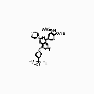 COc1ncc(-c2nc(N3CCOCC3)nc3c(CN4CCC(C(C)(C)O)CC4)cc(F)cc23)cc1NSC